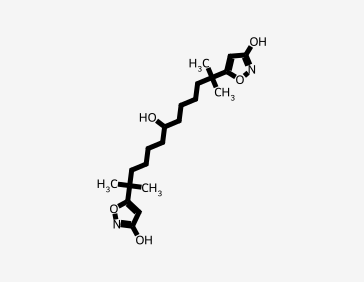 CC(C)(CCCCC(O)CCCCC(C)(C)c1cc(O)no1)c1cc(O)no1